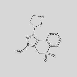 O=C(O)c1nn(C2CCNC2)c2c1CS(=O)(=O)c1ccccc1-2